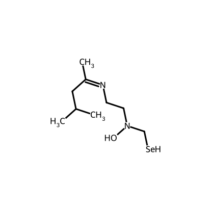 CC(CC(C)C)=NCCN(O)C[SeH]